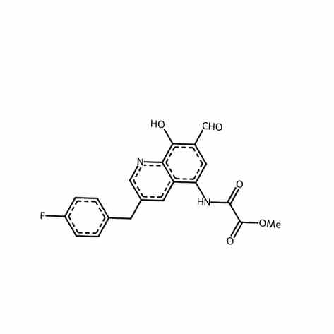 COC(=O)C(=O)Nc1cc(C=O)c(O)c2ncc(Cc3ccc(F)cc3)cc12